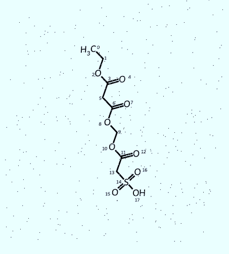 CCOC(=O)CC(=O)OCOC(=O)CS(=O)(=O)O